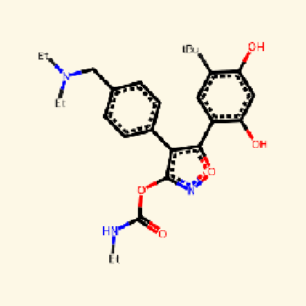 CCNC(=O)Oc1noc(-c2cc(C(C)(C)C)c(O)cc2O)c1-c1ccc(CN(CC)CC)cc1